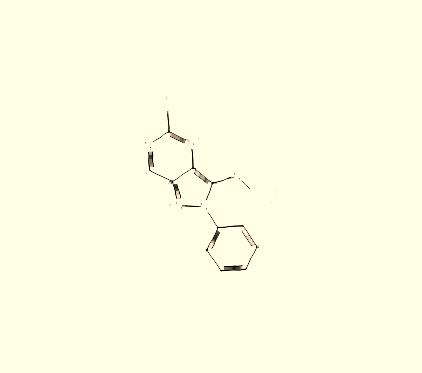 O=C(O)Nc1c2nc(Cl)ncc2nn1-c1ccccc1